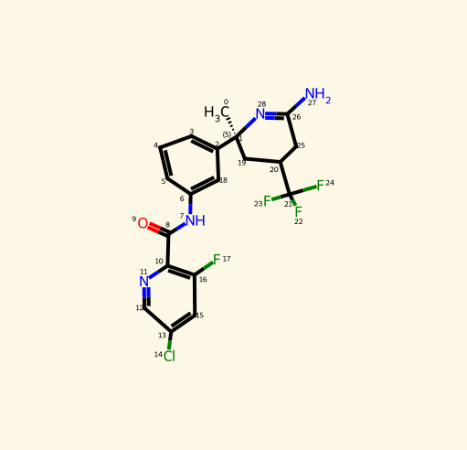 C[C@@]1(c2cccc(NC(=O)c3ncc(Cl)cc3F)c2)CC(C(F)(F)F)CC(N)=N1